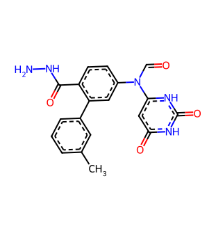 Cc1cccc(-c2cc(N(C=O)c3cc(=O)[nH]c(=O)[nH]3)ccc2C(=O)NN)c1